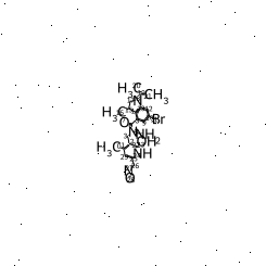 CC1=C(CN(N)C(=O)c2cc(Br)cc3c2C(C)CN3C(C)C)C(O)NC(CN=O)=C1